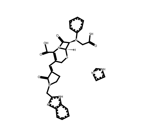 O=C(S)CN(c1ccccc1)[C@@H]1C(=O)N2C(C(=O)O)=C(/C=C3\CCN(Cc4nc5ccccc5[nH]4)C3=O)CS[C@H]12.c1c[nH]cn1